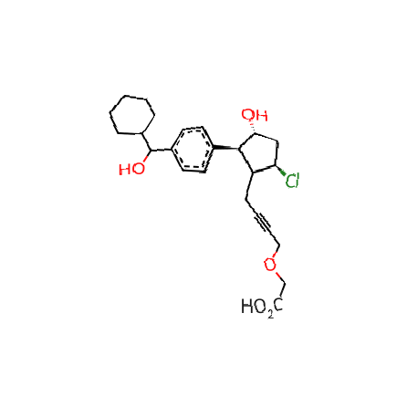 O=C(O)COCC#CCC1[C@H](Cl)C[C@@H](O)[C@@H]1c1ccc(C(O)C2CCCCC2)cc1